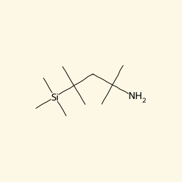 CC(C)(N)CC(C)(C)[Si](C)(C)C